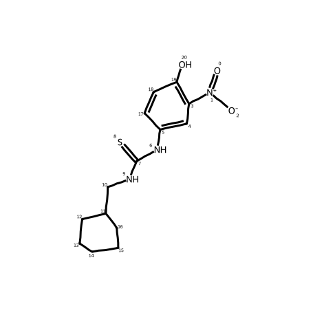 O=[N+]([O-])c1cc(NC(=S)NCC2CCCCC2)ccc1O